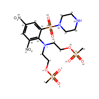 CS(=O)(=O)OCCN(CCOS(C)(=O)=O)c1c([N+](=O)[O-])cc([N+](=O)[O-])cc1S(=O)(=O)N1CCNCC1